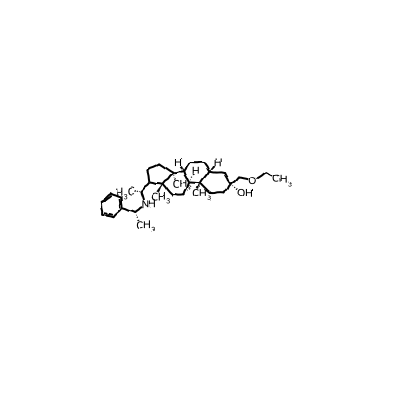 CCOC[C@@]1(O)CC[C@@]2(C)[C@H](CC[C@@H]3[C@@H]2CC[C@]2(C)C([C@@H](C)N[C@H](C)c4ccccc4)CC[C@@]32C)C1